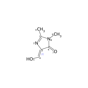 CC1=N/C(=C\O)C(=O)N1C